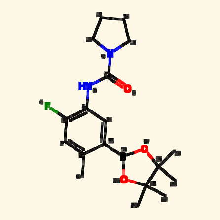 Cc1cc(F)c(NC(=O)N2CCCC2)cc1B1OC(C)(C)C(C)(C)O1